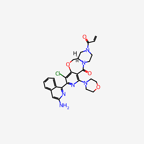 C=CC(=O)N1CCN2C(=O)c3c(N4CCOCC4)nc(-c4nc(N)cc5ccccc45)c(Cl)c3OC[C@H]2C1